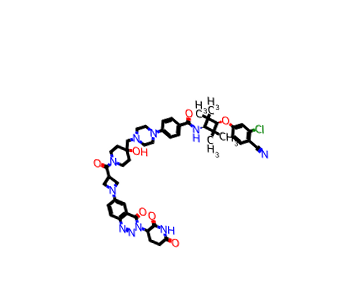 CC1(C)[C@H](NC(=O)c2ccc(N3CCN(CC4(O)CCN(C(=O)C5CN(c6ccc7nnn(C8CCC(=O)NC8=O)c(=O)c7c6)C5)CC4)CC3)cc2)C(C)(C)[C@H]1Oc1ccc(C#N)c(Cl)c1